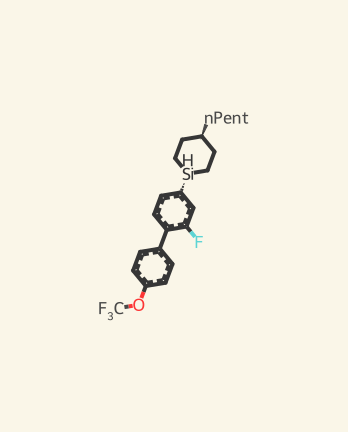 CCCCC[C@H]1CC[Si@H](c2ccc(-c3ccc(OC(F)(F)F)cc3)c(F)c2)CC1